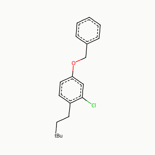 CC(C)(C)CCc1ccc(OCc2ccccc2)cc1Cl